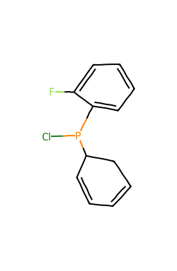 Fc1ccccc1P(Cl)C1C=CC=CC1